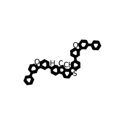 CC1(C)c2cc(-c3ccc4oc5ccc(-c6ccccc6)cc5c4c3)ccc2-c2ccc3sc4ccc(-c5ccc6oc7ccc(-c8ccccc8)cc7c6c5)cc4c3c21